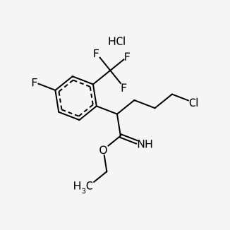 CCOC(=N)C(CCCCl)c1ccc(F)cc1C(F)(F)F.Cl